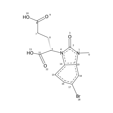 Cn1c(=O)n([C@@H](CCC(=O)O)C(=O)O)c2ccc(Br)cc21